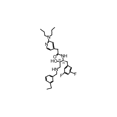 CCCN(CCC)c1cc(CC(=O)N[C@@H](Cc2cc(F)cc(F)c2)[C@H](O)CNCc2cccc(CC)c2)ccn1